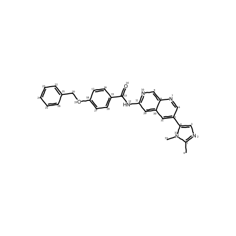 Cc1ncc(-c2cnc3cnc(NC(=O)c4ccc(OCc5ccccc5)cc4)cc3c2)n1C